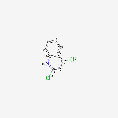 Clc1[c]c(Cl)c2ccccc2n1